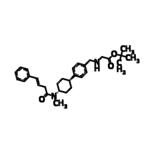 CN(C(=O)CC=Cc1ccccc1)[C@H]1CC[C@H](c2ccc(CNCC(=O)OC(C)(C)C)cc2)CC1